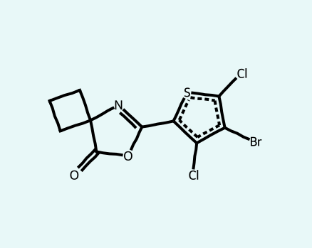 O=C1OC(c2sc(Cl)c(Br)c2Cl)=NC12CCC2